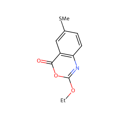 CCOc1nc2ccc(SC)cc2c(=O)o1